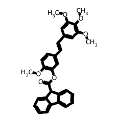 COc1ccc(/C=C/c2cc(OC)c(OC)c(OC)c2)cc1OC(=O)C1c2ccccc2-c2ccccc21